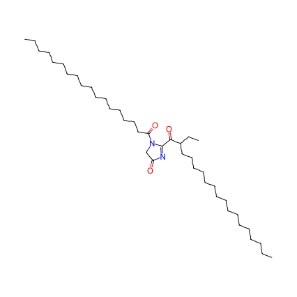 CCCCCCCCCCCCCCCCCC(=O)N1CC(=O)N=C1C(=O)C(CC)CCCCCCCCCCCCCCCC